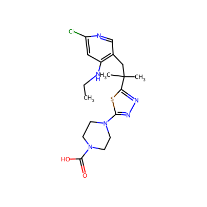 CCNc1cc(Cl)ncc1CC(C)(C)c1nnc(N2CCN(C(=O)O)CC2)s1